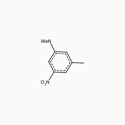 CNc1cc(C)cc([N+](=O)[O-])c1